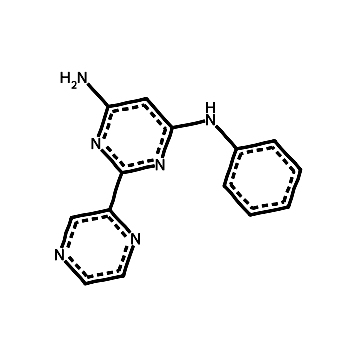 Nc1cc(Nc2ccccc2)nc(-c2cnccn2)n1